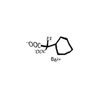 CCC(C(=O)[O-])(C(=O)[O-])C1CCCCC1.[Ba+2]